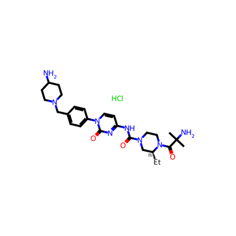 CC[C@H]1CN(C(=O)Nc2ccn(-c3ccc(CN4CCC(N)CC4)cc3)c(=O)n2)CCN1C(=O)C(C)(C)N.Cl